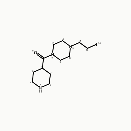 O=C(C1CCNCC1)N1CCN(CCI)CC1